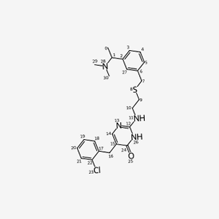 CC(c1cccc(CSCCNc2ncc(Cc3ccccc3Cl)c(=O)[nH]2)c1)N(C)C